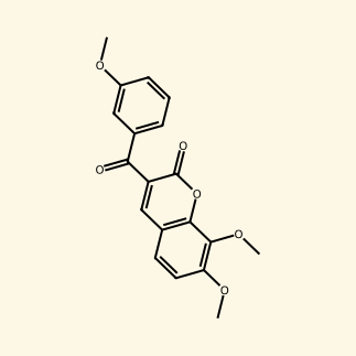 COc1cccc(C(=O)c2cc3ccc(OC)c(OC)c3oc2=O)c1